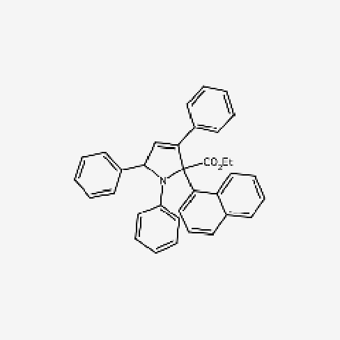 CCOC(=O)C1(c2cccc3ccccc23)C(c2ccccc2)=CC(c2ccccc2)N1c1ccccc1